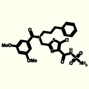 COc1cc(OC)cc(C(=O)N(CCCc2ccccc2)Cc2nc(C(=O)NS(N)(=O)=O)c(Cl)s2)c1